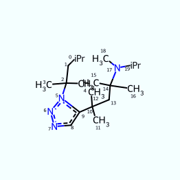 CC(C)CC(C)(C)n1nncc1C(C)(C)CC(C)(C)N(C)C(C)C